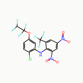 O=[N+]([O-])c1cc([N+](=O)[O-])c(Nc2cc(OC(F)(F)C(F)F)ccc2Cl)c(C(F)(F)F)c1